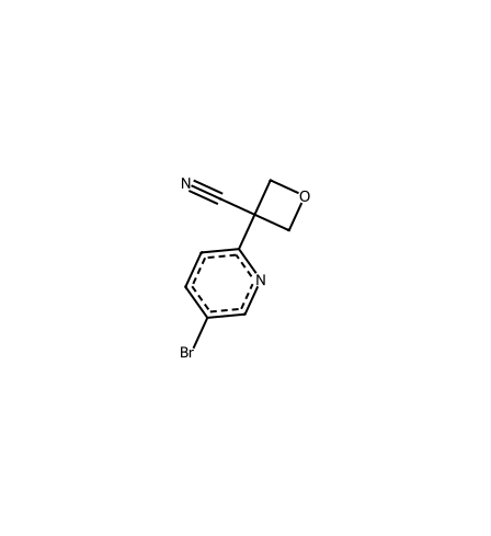 N#CC1(c2ccc(Br)cn2)COC1